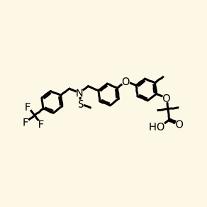 CSN(Cc1ccc(C(F)(F)F)cc1)Cc1cccc(Oc2ccc(OC(C)(C)C(=O)O)c(C)c2)c1